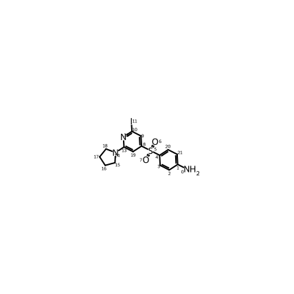 Nc1ccc(S(=O)(=O)c2cc(I)nc(N3CCCC3)c2)cc1